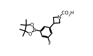 CC1(C)OB(c2cc(F)cc(C3CN(C(=O)O)C3)c2)OC1(C)C